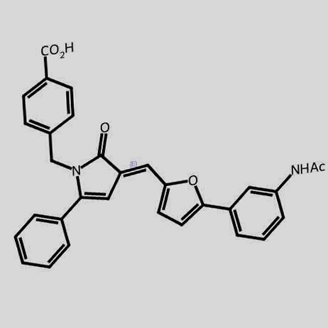 CC(=O)Nc1cccc(-c2ccc(/C=C3\C=C(c4ccccc4)N(Cc4ccc(C(=O)O)cc4)C3=O)o2)c1